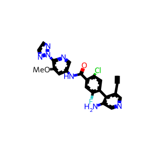 C#Cc1cncc(N)c1-c1cc(Cl)c(C(=O)Nc2cnc(-n3nccn3)c(OC)c2)cc1F